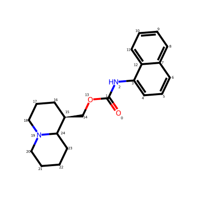 O=C(Nc1cccc2ccccc12)OC[C@@H]1CCCN2CCCCC12